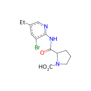 CCc1cnc(NC(=O)C2CCCN2C(=O)O)c(Br)c1